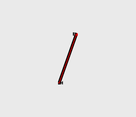 B=BB=BB=BB=BB=BB=BB=BB=BB=BB=BB=BB=BB=BB=BB=BB=BB=BB=BB=BB=BB=BB=BB=BB=BB=BB=BB=BB=BB=BB=BB=BB=BB=BOCC